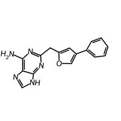 Nc1nc(Cc2cc(-c3ccccc3)co2)nc2[nH]cnc12